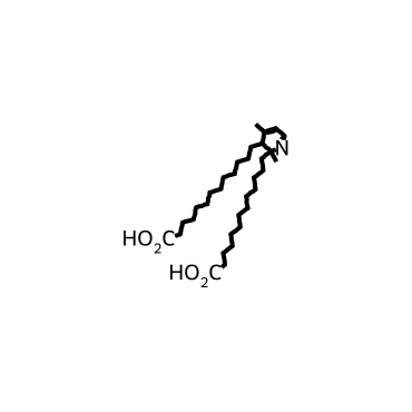 CC1=CC=NC(C)(CCCCCCCCCCCCC(=O)O)C1CCCCCCCCCCCCC(=O)O